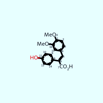 COc1ccc(C=C(C(=O)O)c2ccc(O)cc2)cc1OC